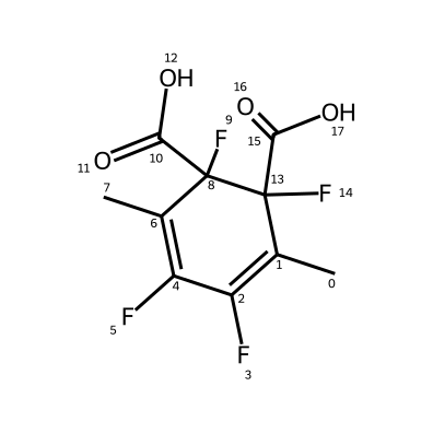 CC1=C(F)C(F)=C(C)C(F)(C(=O)O)C1(F)C(=O)O